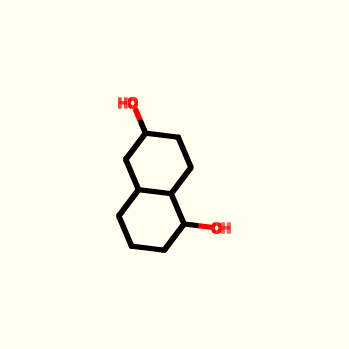 OC1CCC2C(O)CCCC2C1